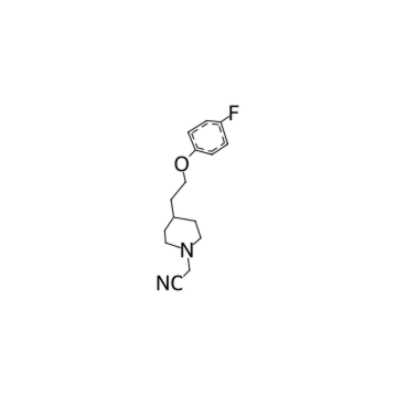 N#CCN1CCC(CCOc2ccc(F)cc2)CC1